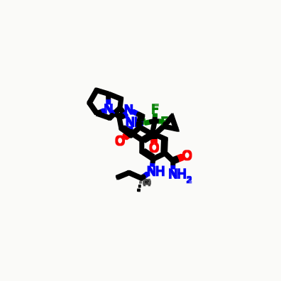 CC[C@@H](C)Nc1cc(C(=O)NC2CC3CCC(C2)N3c2ccc(C(=O)C3CC3)cn2)c(C(F)(F)F)cc1C(N)=O